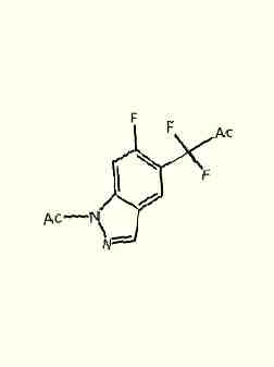 CC(=O)n1ncc2cc(C(F)(F)C(C)=O)c(F)cc21